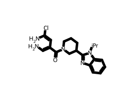 CC(C)n1c(C2CCCN(C(=O)C(/C=C(\N)Cl)=C/N)C2)nc2ccccc21